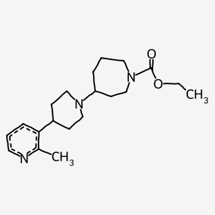 CCOC(=O)N1CCCC(N2CCC(c3cccnc3C)CC2)CC1